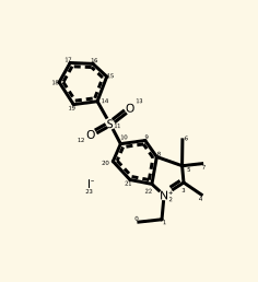 CC[N+]1=C(C)C(C)(C)c2cc(S(=O)(=O)c3ccccc3)ccc21.[I-]